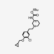 CC(C)(C)OC(=O)N[C@H]1CCCN(CCc2ccc(OCC3CC3)c(Cl)c2)C1